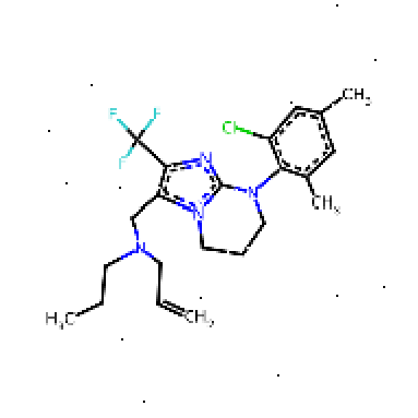 C=CCN(CCC)Cc1c(C(F)(F)F)nc2n1CCCN2c1c(C)cc(C)cc1Cl